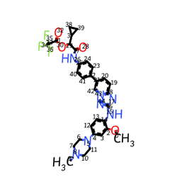 COc1cc(N2CCN(C)CC2)ccc1Nc1nc2ccc(-c3ccc(NC(=O)C(OC(=O)C(F)(F)F)C4CC4)cc3)cn2n1